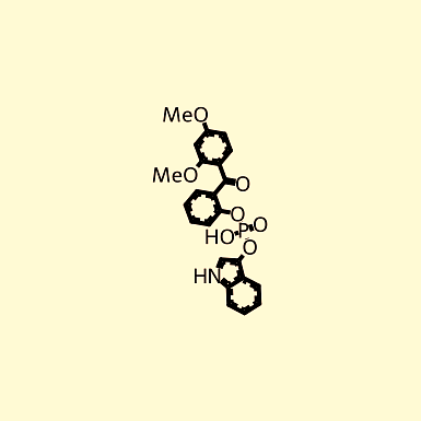 COc1ccc(C(=O)c2ccccc2OP(=O)(O)Oc2c[nH]c3ccccc23)c(OC)c1